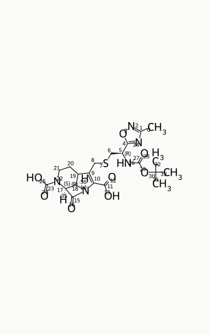 Cc1noc([C@H](CSCC2=C(C(=O)O)N3C(=O)[C@@H]4[C@H]3C2CCN4C(=O)O)NC(=O)OC(C)(C)C)n1